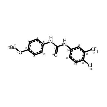 CC(C)(C)Oc1ccc(NC(=O)Nc2ccc(Cl)c(C(F)(F)F)c2)cc1